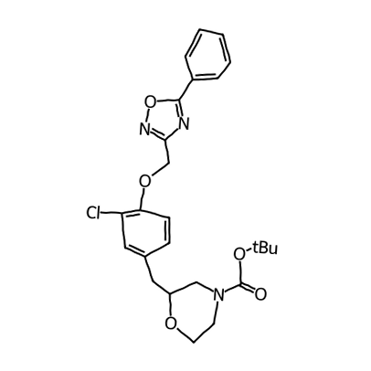 CC(C)(C)OC(=O)N1CCOC(Cc2ccc(OCc3noc(-c4ccccc4)n3)c(Cl)c2)C1